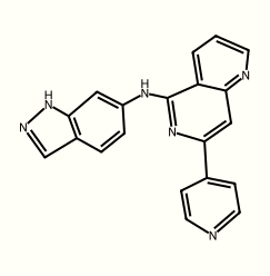 c1cnc2cc(-c3ccncc3)nc(Nc3ccc4cn[nH]c4c3)c2c1